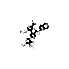 COc1cnc(C(F)F)cc1-c1cc(-n2cnc(C)c(C)c2=O)ncc1C(=O)Nc1ccc2c(n1)CCSC2